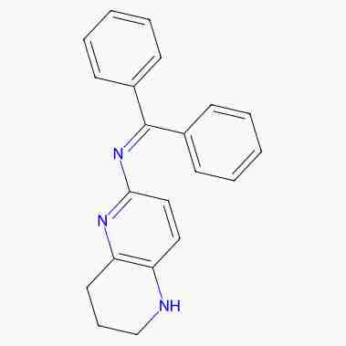 c1ccc(C(=Nc2ccc3c(n2)CCCN3)c2ccccc2)cc1